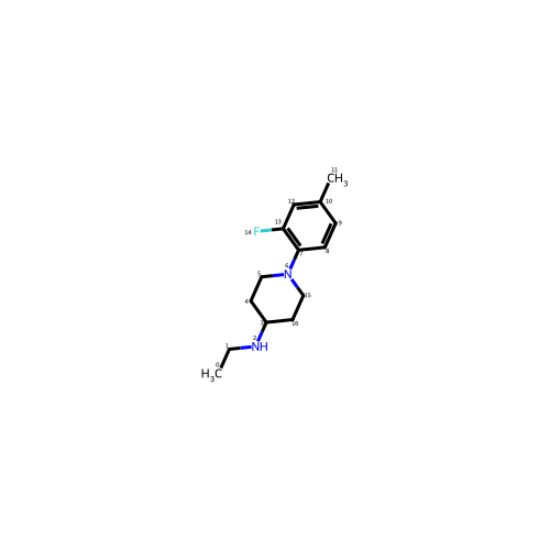 CCNC1CCN(c2ccc(C)cc2F)CC1